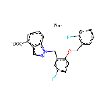 O=C([O-])c1cccc2c1cnn2Cc1cc(F)ccc1OCc1ccccc1F.[Na+]